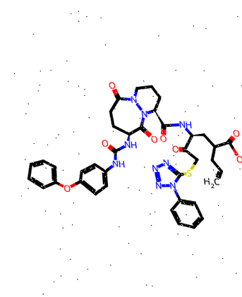 C=CCC(C[C@H](NC(=O)[C@@H]1CCCN2C(=O)CC[C@H](NC(=O)Nc3ccc(Oc4ccccc4)cc3)C(=O)N12)C(=O)CSc1nnnn1-c1ccccc1)C(=O)O